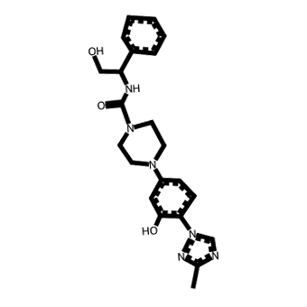 Cc1ncn(-c2ccc(N3CCN(C(=O)NC(CO)c4ccccc4)CC3)cc2O)n1